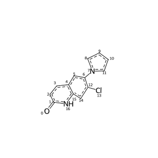 O=c1[c]cc2cc(-n3cccc3)c(Cl)cc2[nH]1